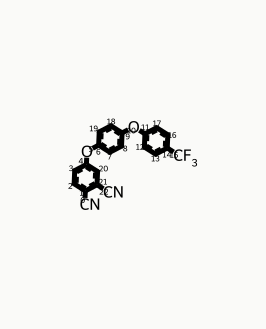 N#Cc1ccc(Oc2ccc(Oc3ccc(C(F)(F)F)cc3)cc2)cc1C#N